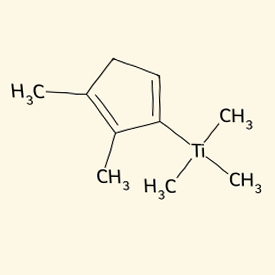 CC1=C(C)[C]([Ti]([CH3])([CH3])[CH3])=CC1